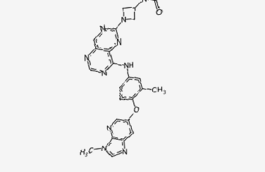 C=CC(=O)NC1CN(c2ncc3ncnc(Nc4ccc(Oc5cnc6c(c5)ncn6C)c(C)c4)c3n2)C1